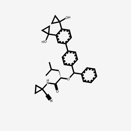 CC(C)C[C@H](OC(c1ccccc1)c1ccc(-c2ccc(C3(O)CC3)c(C3(O)CC3)c2)cc1)C(=O)NC1(C#N)CC1